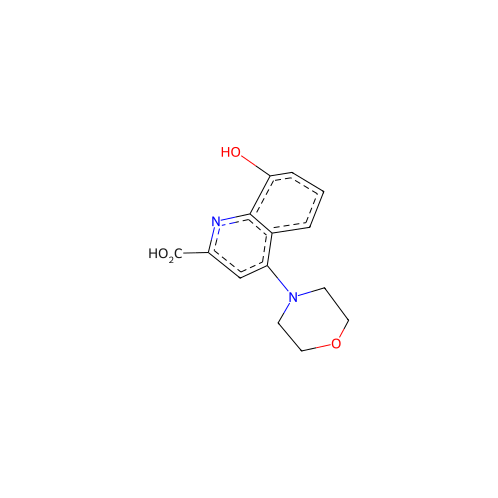 O=C(O)c1cc(N2CCOCC2)c2cccc(O)c2n1